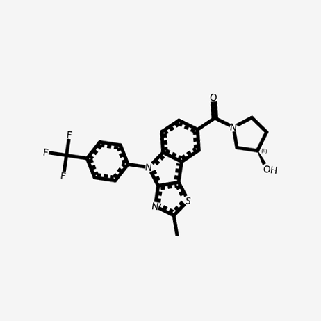 Cc1nc2c(s1)c1cc(C(=O)N3CC[C@@H](O)C3)ccc1n2-c1ccc(C(F)(F)F)cc1